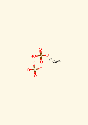 O=S(=O)([O-])O.O=S(=O)([O-])[O-].[Cu+2].[K+]